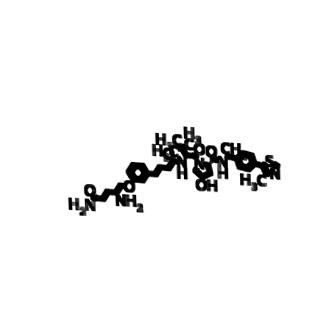 Cc1ncsc1-c1ccc([C@H](C)NC(=O)[C@@H]2C[C@@H](O)CN2C(=O)[C@@H](NC(=O)CCCc2cccc(OC[C@@H](N)CCC(N)=O)c2)C(C)(C)C)cc1